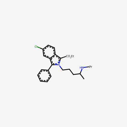 CCOC(=O)c1c2ccc(Cl)cc2c(-c2ccccc2)n1CCCC(C)NC(C)C